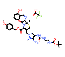 COc1ccc(COC(=O)C2=C(C[n+]3cc(NC(=O)NCCNC(=O)OC(C)(C)C)c(N)n3C)CS[C@@H]3[C@H](/N=C\c4ccccc4O)C(=O)N23)cc1.O=C([O-])C(F)(F)F